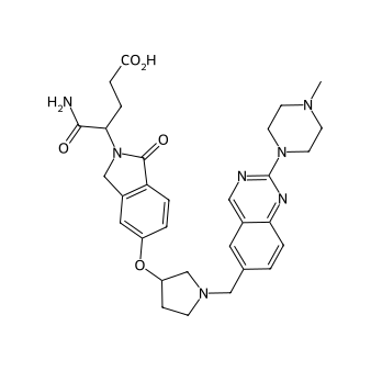 CN1CCN(c2ncc3cc(CN4CCC(Oc5ccc6c(c5)CN(C(CCC(=O)O)C(N)=O)C6=O)C4)ccc3n2)CC1